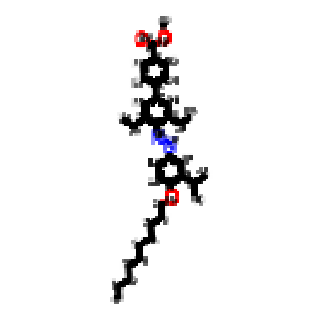 CCCCCCCCCCOc1ccc(/N=N/c2c(CC)cc(-c3ccc(C(=O)OC)cc3)cc2CC)cc1C(C)C